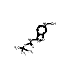 CC(C)(C)OC(=O)Nc1noc2cc(NO)ccc12